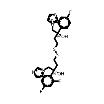 O[C@@](CCSSCC[C@](O)(Cn1ccnc1)c1ccc(F)cc1F)(Cn1ccnc1)c1ccc(F)cc1F